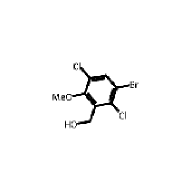 COc1c(Cl)cc(Br)c(Cl)c1CO